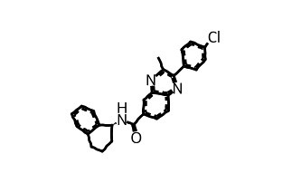 Cc1nc2cc(C(=O)N[C@@H]3CCCc4ccccc43)ccc2nc1-c1ccc(Cl)cc1